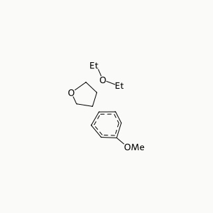 C1CCOC1.CCOCC.COc1ccccc1